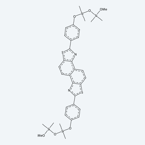 CO[Si](C)(C)O[Si](C)(C)Oc1ccc(-c2nc3c(ccc4c3ccc3sc(-c5ccc(O[Si](C)(C)O[Si](C)(C)OC)cc5)nc34)s2)cc1